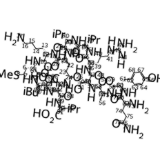 CC[C@H](C)[C@H](NC(=O)[C@H](CCSC)NC(=O)[C@H](CCCCN)NC(=O)[C@H](CCC(N)=O)NC(=O)[C@@H](NC(=O)[C@@H](NC(=O)[C@H](CCCNC(=N)N)NC(=O)[C@H](CO)NC(=O)[C@H](C)NC(=O)[C@H](Cc1ccc(O)cc1)NC(=O)[C@@H](N)CCC(N)=O)C(C)C)C(C)C)C(=O)N[C@@H](CC(=O)O)C(=O)N[C@H](C(=O)O)C(C)C